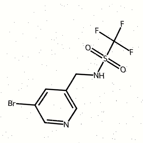 O=S(=O)(NCc1cncc(Br)c1)C(F)(F)F